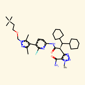 CCC(C)n1nnc([C@@H](C(=O)Nc2ccc(-c3c(C)nn(COCC[Si](C)(C)C)c3C)c(F)n2)C(C2CCCCC2)C2CCCCC2)c1C(N)=O